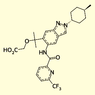 CC(C)(OCC(=O)O)c1cc2nn([C@H]3CC[C@H](C)CC3)cc2cc1NC(=O)c1cccc(C(F)(F)F)n1